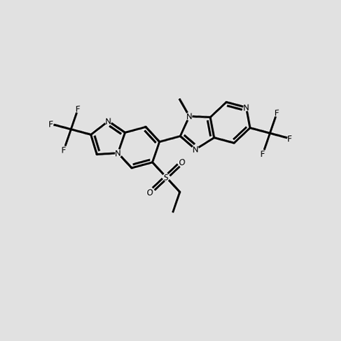 CCS(=O)(=O)c1cn2cc(C(F)(F)F)nc2cc1-c1nc2cc(C(F)(F)F)ncc2n1C